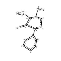 COc1ccn(-c2ccccc2)c(=O)c1C(=O)O